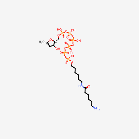 C[C@H]1CC(O)[C@@H](COP(=O)(O)OP(=O)(O)OP(=O)(O)OP(=O)(O)OP(=O)(O)OP(=O)(O)OCCCCCCNC(=O)CCCCCN)O1